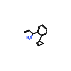 C=CC(N)c1ccccc1C1C=CC1